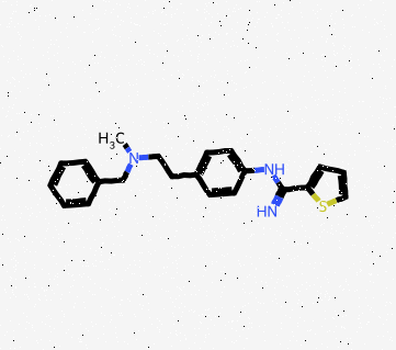 CN(CCc1ccc(NC(=N)c2cccs2)cc1)Cc1ccccc1